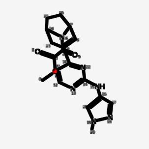 COC(=O)C(=O)N1C2C=C(c3ccnc(Nc4cnn(C)c4)n3)CC1CC2